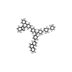 c1ccc(-c2ccc(-c3ccc(N(c4ccc(-c5ccc(-c6ccccc6)c(-c6cc7ccccc7o6)c5)cc4)c4ccc(-c5ccc6c(ccc7ccccc76)c5)cc4)cc3)cc2)cc1